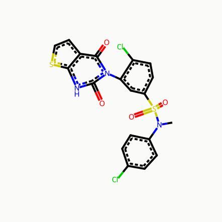 CN(c1ccc(Cl)cc1)S(=O)(=O)c1ccc(Cl)c(-n2c(=O)[nH]c3sccc3c2=O)c1